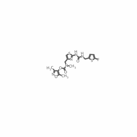 Cc1noc(C)c1OC(=O)N(C)Cc1csc(NC(=O)NCc2ccc(F)s2)n1